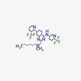 CCCCCCN(C)Cc1nc(Nc2ccc(C(F)(F)F)nc2)c2ccc(-c3ncccc3C(F)(F)F)cc2n1